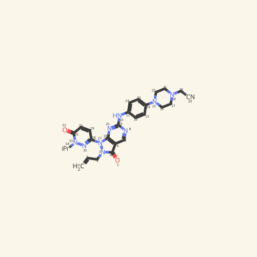 C=CCn1c(=O)c2cnc(Nc3ccc(N4CCN(CC#N)CC4)cc3)nc2n1-c1ccc(=O)n(C(C)C)n1